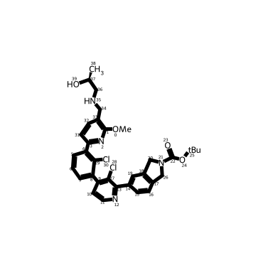 COc1nc(-c2cccc(-c3ccnc(-c4ccc5c(c4)CN(C(=O)OC(C)(C)C)C5)c3Cl)c2Cl)ccc1CNC[C@H](C)O